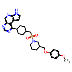 O=S(=O)(CC1CCC(c2ncnc3cnc4[nH]ccc4c23)CC1)N1CCCC(COc2ccc(OC(F)(F)F)cc2)C1